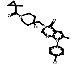 Cc1cc2c(=O)n(CC3(O)CCN(C(=O)C4(C)CC4)CC3)cnc2n1-c1ccc(Cl)cc1